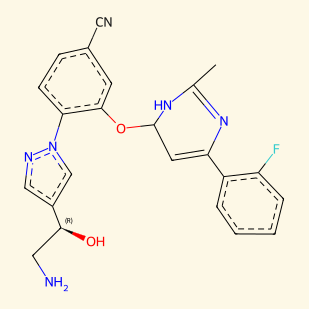 CC1=NC(c2ccccc2F)=CC(Oc2cc(C#N)ccc2-n2cc([C@@H](O)CN)cn2)N1